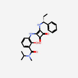 CC[C@@H](Nc1c(Nc2cccc(C(=O)N(C)C(C)C)c2O)c(=O)c1=O)c1ccccc1